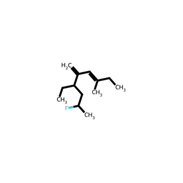 C=C(/C=C(\C)CC)C(CC)CC(C)F